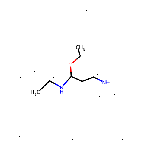 CCNC(CC[NH])OCC